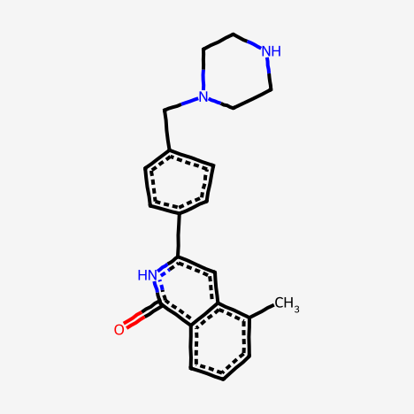 Cc1cccc2c(=O)[nH]c(-c3ccc(CN4CCNCC4)cc3)cc12